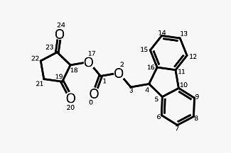 O=C(OCC1c2ccccc2-c2ccccc21)OC1C(=O)CCC1=O